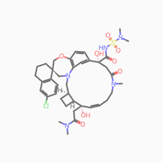 CN(C)C(=O)C[C@]1(O)C=CCCN(C)C(=O)C[C@](O)(C(=O)NS(=O)(=O)N(C)C)c2ccc3c(c2)N(C[C@@H]2CC[C@H]21)C[C@@]1(CCCc2cc(Cl)ccc21)CO3